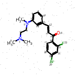 CN(C)CCN(C)c1cccc(/C=C/C(=O)c2ccc(Br)cc2F)c1